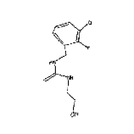 C=C(NCCO)NCc1cccc(Cl)c1F